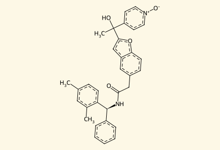 Cc1ccc([C@@H](NC(=O)Cc2ccc3oc(C(C)(O)c4cc[n+]([O-])cc4)cc3c2)c2ccccc2)c(C)c1